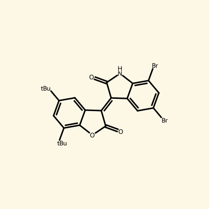 CC(C)(C)c1cc2c(c(C(C)(C)C)c1)OC(=O)/C2=C1/C(=O)Nc2c(Br)cc(Br)cc21